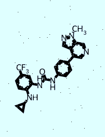 Cn1ncc2c(-c3ccc(NC(=O)Nc4cc(C(F)(F)F)ccc4NC4CC4)cc3)cncc21